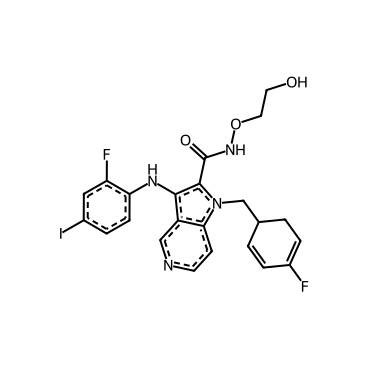 O=C(NOCCO)c1c(Nc2ccc(I)cc2F)c2cnccc2n1CC1C=CC(F)=CC1